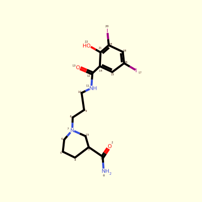 NC(=O)C1CCCN(CCCNC(=O)c2cc(I)cc(I)c2O)C1